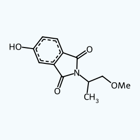 COCC(C)N1C(=O)c2ccc(O)cc2C1=O